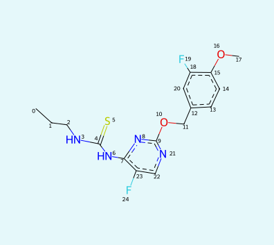 CCCNC(=S)Nc1nc(OCc2ccc(OC)c(F)c2)ncc1F